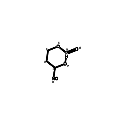 O=NC1CCO[PH](=O)O1